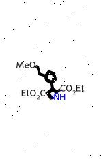 CCOC(=O)c1c[nH]c(C(=O)OCC)c1-c1cccc(CCOC)c1